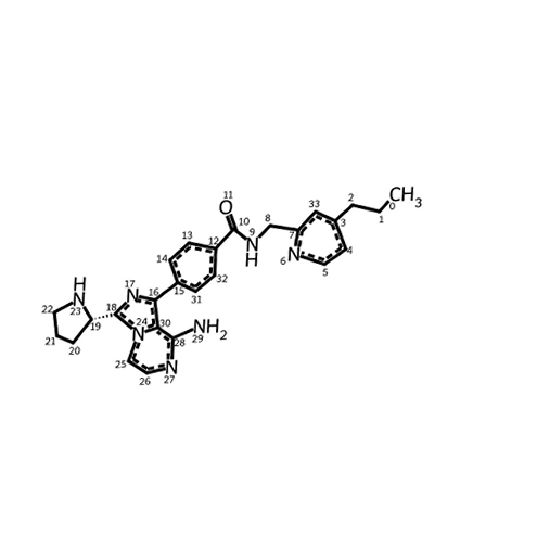 CCCc1ccnc(CNC(=O)c2ccc(-c3nc([C@@H]4CCCN4)n4ccnc(N)c34)cc2)c1